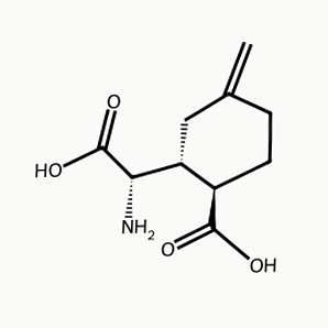 C=C1CC[C@@H](C(=O)O)[C@H]([C@H](N)C(=O)O)C1